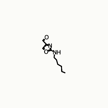 CCCCCCNc1nc(C=O)co1